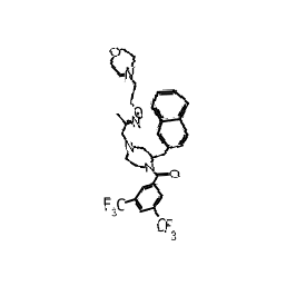 CC(CN1CCN(C(=O)c2cc(C(F)(F)F)cc(C(F)(F)F)c2)C(Cc2ccc3ccccc3c2)C1)=NOCCN1CCOCC1